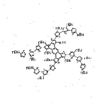 CCCCc1csc(-c2sc(-c3sc(-c4sc5c6cc7c(cc6c6c(CCCC)c(-c8ccc(-c9cc(CCCC)c(-c%10ccc(CCCC)s%10)s9)s8)sc6c5c4CCCC)c4c(CCCC)c(-c5sc(-c6cc(CCCC)c(-c8ccc(CCCC)s8)s6)cc5CCCC)sc4c4sc(-c5cc(CCCC)c(-c6cc(CCCC)c(-c8ccc(CCCC)s8)s6)s5)c(CCCC)c74)cc3CCCC)cc2CCCC)c1